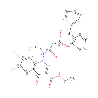 CCOC(=O)c1cn(N(C)C(=O)CC(=O)OC(c2ccccc2)c2ccccc2)c2c(F)c(F)c(F)cc2c1=O